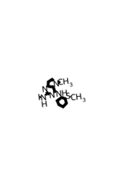 CSc1ccccc1Nc1nc(NI)nc2ccn(C)c12